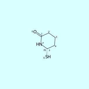 O=C1CCC[C@H](S)N1